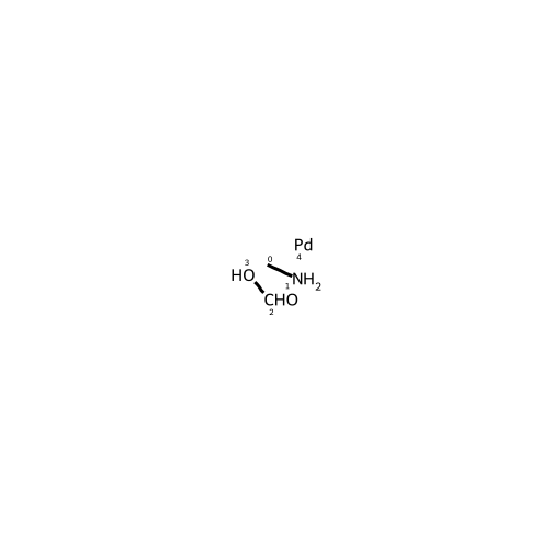 CN.O=CO.[Pd]